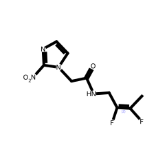 C/C(F)=C(/F)CNC(=O)Cn1ccnc1[N+](=O)[O-]